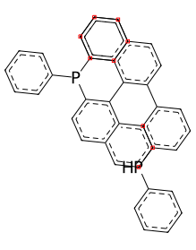 c1ccc(Pc2cccc(-c3ccc4ccccc4c3-c3c(P(c4ccccc4)c4ccccc4)ccc4ccccc34)c2)cc1